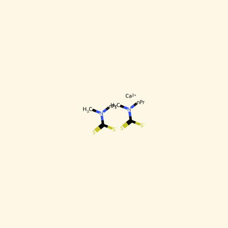 CCCN(C)C(=S)[S-].CCCN(C)C(=S)[S-].[Ca+2]